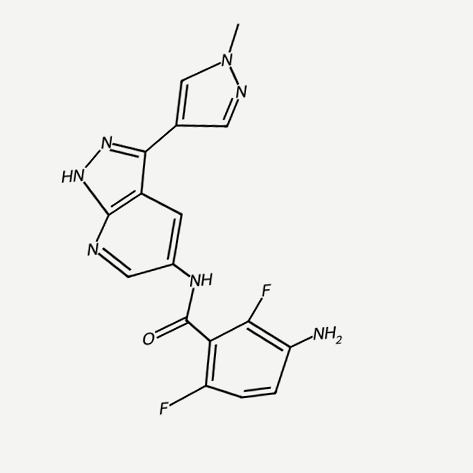 Cn1cc(-c2n[nH]c3ncc(NC(=O)c4c(F)ccc(N)c4F)cc23)cn1